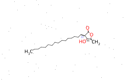 C=C1OC(=O)/C(=C/CCCCCCCCCCCCCCC)[C@@H]1O